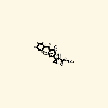 C[C@H](c1ccc(C2(NC(=O)OC(C)(C)C)CC2)cc1Cl)c1ccccc1C(=O)O